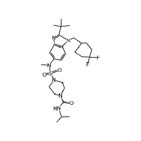 CC(C)NC(=O)N1CCN(S(=O)(=O)N(C)c2ccc3c(c2)nc(C(C)(C)C)n3CC2CCC(F)(F)CC2)CC1